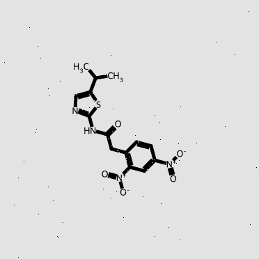 CC(C)c1cnc(NC(=O)Cc2ccc([N+](=O)[O-])cc2[N+](=O)[O-])s1